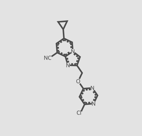 N#Cc1cc(C2CC2)cn2cc(COc3cc(Cl)ncn3)nc12